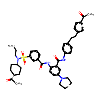 COCCN([C@H]1CC[C@H](C(=O)OC)CC1)S(=O)(=O)c1cccc(C(=O)Nc2ccc(N3CCCCC3)cc2C(=O)Nc2ccc(CCc3ccc(C(=O)OC)cc3)cc2)c1